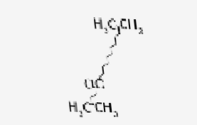 CC(C)CCCCCCCCCCOC(=O)CCC(C)C